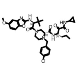 CCC[C@H](NC(=O)[C@H]1CN(C(=O)[C@@H](Nc2nc3cc(OC)ccc3o2)C(C)(C)C)CCN1Cc1ccc(Cl)cc1)C(=O)C(=O)NC1CC1